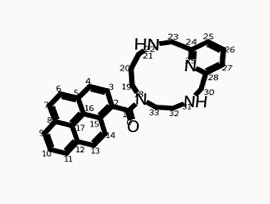 O=C(c1ccc2ccc3cccc4ccc1c2c34)N1CCCNCc2cccc(n2)CNCC1